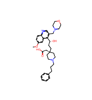 COc1ccc2ncc(CN3CCOCC3)c([C@H](O)CCC3(CC(=O)O)CCN(CCCc4ccccc4)CC3)c2c1